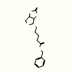 O=C1NC2CS[C@H](CCCCC(=O)OCc3ccccc3)C2N1